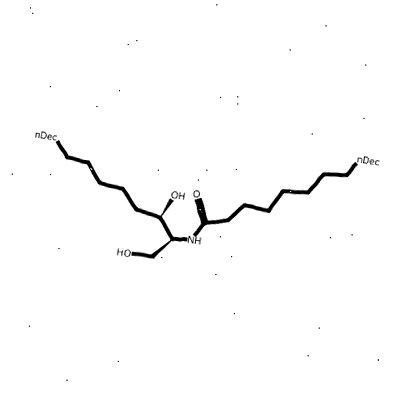 CCCCCCCCCCCCCCCCCC(=O)N[C@@H](CO)[C@H](O)CCCCCCCCCCCCCCC